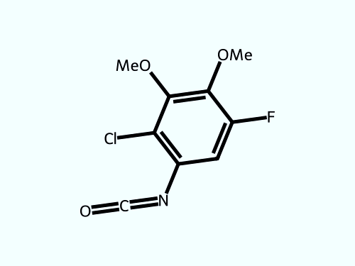 COc1c(F)cc(N=C=O)c(Cl)c1OC